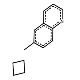 C1CCC1.Cc1ccc2ncccc2c1